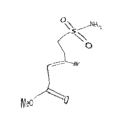 COC(=O)/C=C(\Br)CS(N)(=O)=O